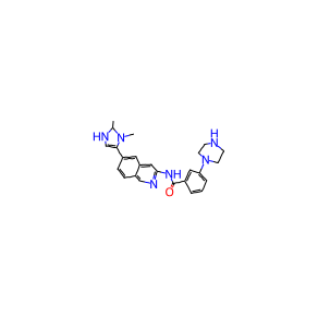 CC1NC=C(c2ccc3cnc(NC(=O)c4cccc(N5CCNCC5)c4)cc3c2)N1C